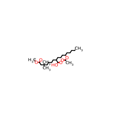 CCCCCC(CCCC(CCCCC(C)(C)CC(=O)OC)C(=O)O)OC(C)=O